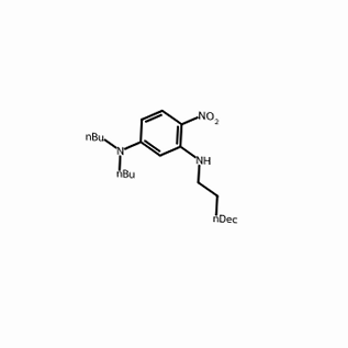 CCCCCCCCCCCCNc1cc(N(CCCC)CCCC)ccc1[N+](=O)[O-]